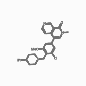 COc1cc(-c2cn(C)c(=O)c3cnccc23)cc(Cl)c1CN1CCC(C(C)C)CC1